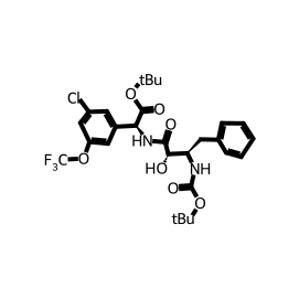 CC(C)(C)OC(=O)N[C@H](Cc1ccccc1)[C@H](O)C(=O)N[C@H](C(=O)OC(C)(C)C)c1cc(Cl)cc(OC(F)(F)F)c1